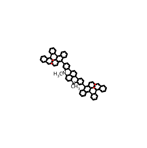 CN1c2cc(-c3c4ccccc4c(-c4ccccc4-c4cccc5ccccc45)c4ccccc34)ccc2-c2ccc3c4c(ccc1c24)N(C)c1cc(-c2c4ccccc4c(-c4ccccc4-c4cccc5ccccc45)c4ccccc24)ccc1-3